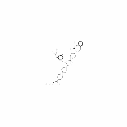 CCCCCCOC(=O)C1CCN(C2CCN(C(=O)[C@@H](Cc3cc(C)c4[nH]c(=O)oc4c3)OC(=O)N3CCC(N4CCc5ccccc5NC4=O)CC3)CC2)CC1